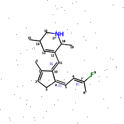 CC1=CCC(=C/C=C(\C)F)/C1=C/C1=CC(C)CNC1C